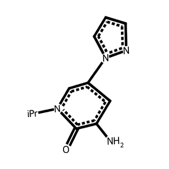 CC(C)n1cc(-n2cccn2)cc(N)c1=O